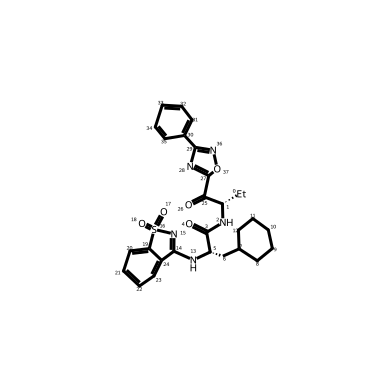 CC[C@H](NC(=O)[C@H](CC1CCCCC1)NC1=NS(=O)(=O)c2ccccc21)C(=O)c1nc(-c2ccccc2)no1